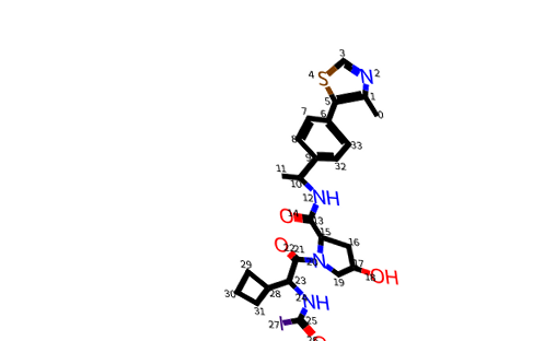 Cc1ncsc1-c1ccc(C(C)NC(=O)C2CC(O)CN2C(=O)C(NC(=O)I)C2CCC2)cc1